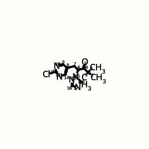 CC(C)(C)C(=O)C(Cc1cnc(Cl)nc1)n1cncn1